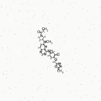 C=CC(=O)N1CCC(N(C)c2ccc3ncnc(Nc4ccc(OCc5nnc(C)o5)c(Cl)c4)c3n2)C1